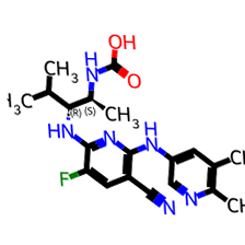 Cc1cc(Nc2nc(N[C@H](C(C)C)[C@H](C)NC(=O)O)c(F)cc2C#N)cnc1C